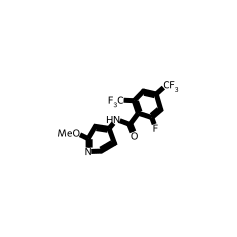 COc1cc(NC(=O)c2c(F)cc(C(F)(F)F)cc2C(F)(F)F)ccn1